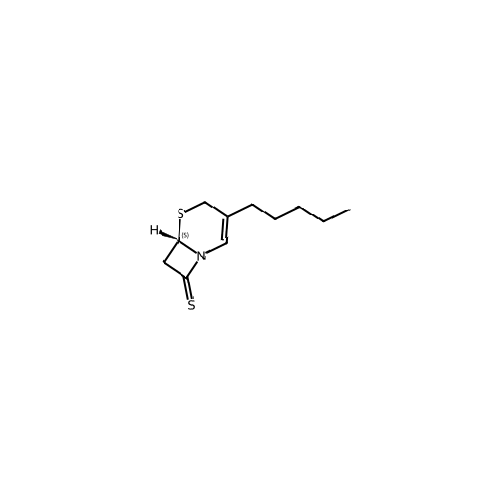 CCCCCC1=CN2C(=S)C[C@@H]2SC1